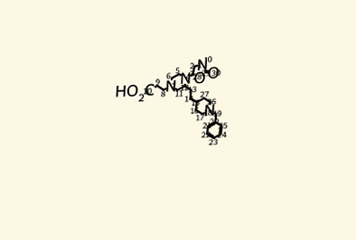 CN1CC(N2CCN(CCC(=O)O)CC2CCC2CCN(Cc3ccccc3)CC2)OC1=O